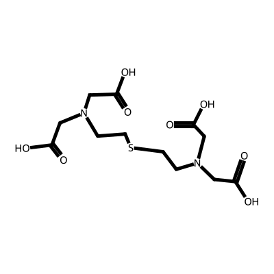 O=C(O)CN(CCSCCN(CC(=O)O)CC(=O)O)CC(=O)O